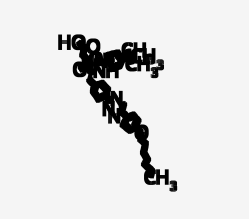 CCCCCCCOc1ccc(-c2cnc(-c3ccc(C[C@H](NC(=O)c4ccc(C(C)(C)C)cc4)C(=O)NCC(=O)O)cc3)nn2)cc1